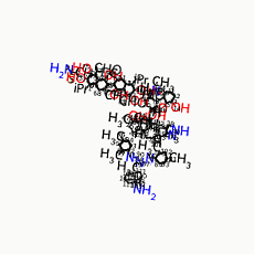 CC(N)=S.CN1CC[C@]23c4c5ccc(O)c4O[C@H]2[C@@H](O)C=C[C@H]3[C@H]1C5.C[C@]12Cc3c[nH]nc3C[C@@H]1CC[C@@H]1[C@@H]2CC[C@@]2(C)[C@H]1CC[C@]2(C)O.Cc1cc2c(C(C)C)c(O)c(O)c(C=O)c2c(O)c1-c1c(C)cc2c(C(C)C)c(O)c(O)c(C=O)c2c1O.Cc1ccc(/N=C/N(C)/C=N/c2ccc(C)cc2C)c(C)c1.NC12CC3CC(CC(C3)C1)C2